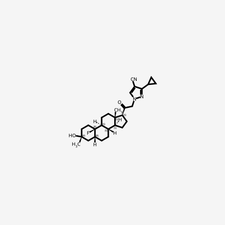 C[C@@]1(O)CC[C@@]2(F)[C@H](CC[C@H]3[C@@H]4CC[C@H](C(=O)Cn5cc(C#N)c(C6CC6)n5)[C@@]4(C)CC[C@@H]32)C1